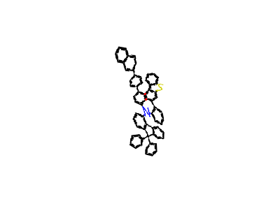 c1ccc(C2(c3ccccc3)c3ccccc3-c3c(N(c4ccc(-c5ccc(-c6ccc7ccccc7c6)cc5)cc4)c4ccccc4-c4ccc5c(c4)sc4ccccc45)cccc32)cc1